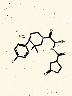 CC(C)[C@@H](NC(=O)C1CCC(=O)C1)C(=O)N1CC[C@](O)(c2ccc(Cl)cc2)C(C)(C)C1